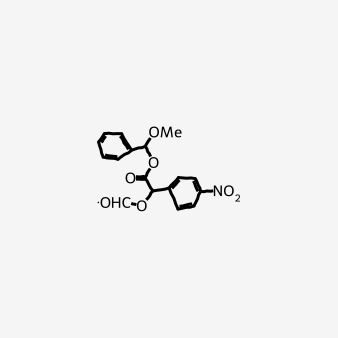 COC(OC(=O)C(O[C]=O)c1ccc([N+](=O)[O-])cc1)c1ccccc1